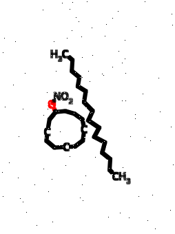 CCCCCCCCCCCCCCCC.O=[N+]([O-])OC1CCCCCCCCCCC1